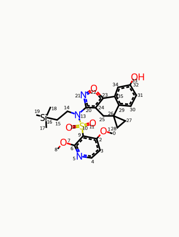 COc1ccnc(OC)c1S(=O)(=O)N(CC[Si](C)(C)C)c1noc2c1CC1(CC1)c1ccc(O)cc1-2